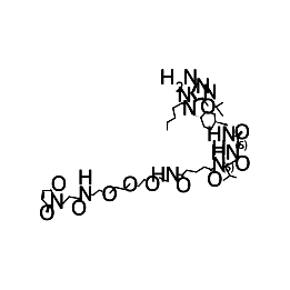 CCCCc1nc2c(N)nnc(OC(C)C)c2n1C[C@H]1CC[C@H](CNC(=O)[C@H](C)NC(=O)[C@@H](NC(=O)CCCC(=O)NCCOCCOCCOCCNC(=O)CCN2C(=O)C=CC2=O)C(C)C)CC1